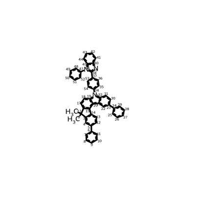 CC1(C)c2cc(-c3ccccc3)ccc2-c2c1ccc1c2c2cc(-c3ccccc3)ccc2n1-c1ccc(-c2nc3ccccc3n2-c2ccccc2)cc1